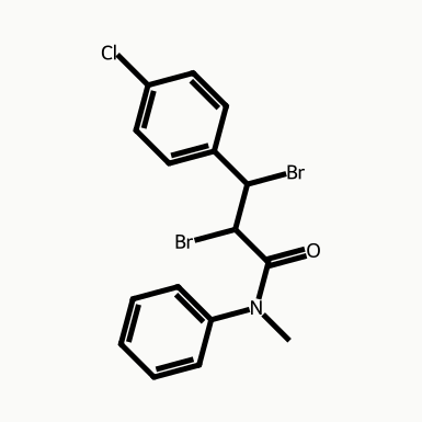 CN(C(=O)C(Br)C(Br)c1ccc(Cl)cc1)c1ccccc1